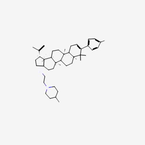 C=C(C)[C@@H]1CC[C@]2(NCCN3CCC(C(=O)O)CC3)CC[C@]3(C)[C@H](CC[C@@H]4[C@@]5(C)CC=C(c6ccc(C(=O)O)cc6)C(C)(C)[C@@H]5CC[C@]43C)[C@@H]12